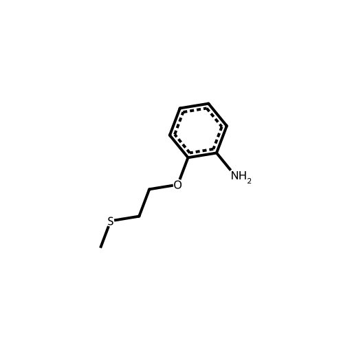 CSCCOc1ccccc1N